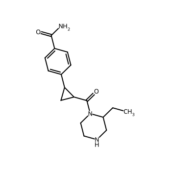 CCC1CNCCN1C(=O)C1CC1c1ccc(C(N)=O)cc1